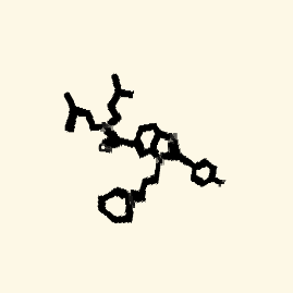 CC(C)CCN(CCC(C)C)C(=O)c1ccc2nc(-c3ccc(F)cc3)n(CCCN3CCCCC3)c2c1